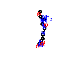 Nc1ncnc2c1c(-c1ccc(Oc3ccccc3)cc1)nn2[C@@H]1CCCN(C(=O)N2CCC(CCN3CCC(c4ccc5c(c4)CN(C4CCC(=O)NC4=O)C5=O)CC3)CC2)C1